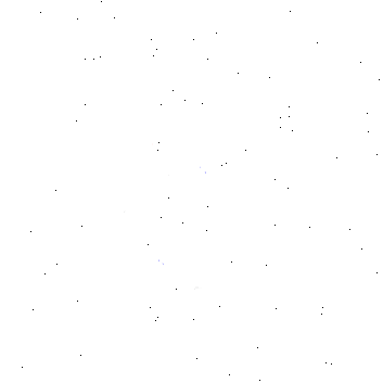 CCCCCn1c(C)cc(=O)c(C(=O)Nc2c(CC)cccc2CC)c1CC